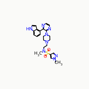 CN(CCN1CCN(c2nccnc2-c2cccc3[nH]ccc23)CC1)S(=O)(=O)c1cnn(C)c1